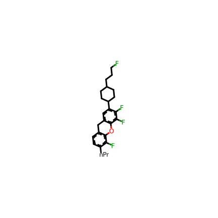 CCCc1ccc2c(c1F)Oc1c(cc(C3CCC(CCCF)CC3)c(F)c1F)C2